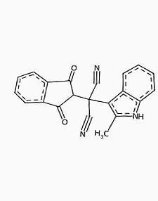 Cc1[nH]c2ccccc2c1C(C#N)(C#N)C1C(=O)c2ccccc2C1=O